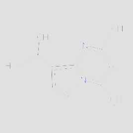 Cc1cc(C)n2ccc(C(C)C)c2n1